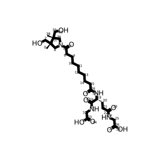 C[C@]1(CO)CN(C(=O)CCCCCCCCC(=O)N[C@H](CCC(=O)NCC(=O)O)C(=O)NCC(=O)O)C[C@@]1(C)CO